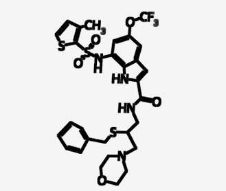 Cc1ccsc1S(=O)(=O)Nc1cc(OC(F)(F)F)cc2cc(C(=O)NCC(CN3CCOCC3)SCc3ccccc3)[nH]c12